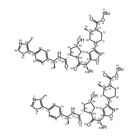 Cc1ncsc1-c1ccc([C@H](C)NC(=O)[C@@H]2C[C@@H](O)CN2C(=O)[C@@H](c2cc(N3CCN(C(=O)OC(C)(C)C)[C@H](C)C3)no2)C(C)C)cc1.Cc1ncsc1-c1ccc([C@H](C)NC(=O)[C@@H]2C[C@@H](O)CN2C(=O)[C@@H](c2cc(N3CCN(C(=O)OC(C)(C)C)[C@H](C)C3)no2)C(C)C)cc1